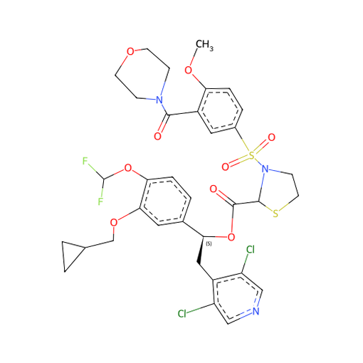 COc1ccc(S(=O)(=O)N2CCSC2C(=O)O[C@@H](Cc2c(Cl)cncc2Cl)c2ccc(OC(F)F)c(OCC3CC3)c2)cc1C(=O)N1CCOCC1